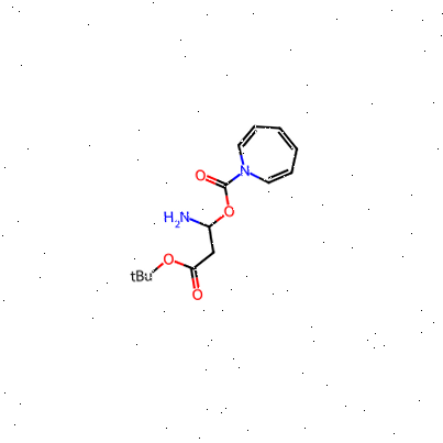 CC(C)(C)OC(=O)CC(N)OC(=O)N1C=CC=CC=C1